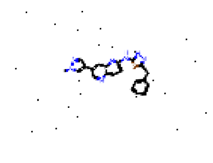 Cn1cc(-c2cnc3ccc(Nc4nnc(Cc5ccccc5)s4)nc3c2)cn1